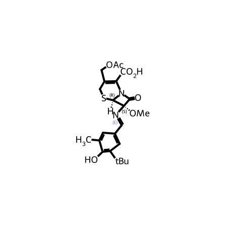 CO[C@@]1(/N=C/c2cc(C)c(O)c(C(C)(C)C)c2)C(=O)N2C(C(=O)O)=C(COC(C)=O)CS[C@@H]21